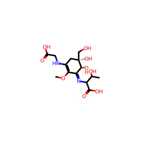 COC1=C(NCC(=O)O)C[C@@](O)(CO)[C@@H](O)C1=NC(C(=O)O)C(C)O